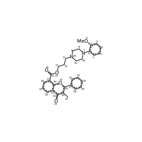 COc1ccccc1N1CCN(CCCOC(=O)c2cccc3c(=O)c(C)c(-c4ccccc4)oc23)CC1